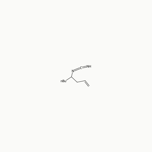 C=CCC(CCCC)N=C=N